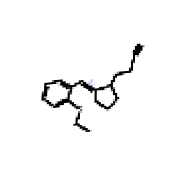 C#CCCC1CCC/C1=C\c1ccccc1SCC